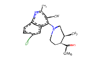 COC(=O)[C@H]1CCN(c2c(C#N)c(C)nc3ccc(Cl)cc23)C[C@H]1C